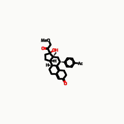 COCC(=O)[C@@]1(O)CC[C@H]2[C@@H]3CCC4=CC(=O)CCC4=C3[C@@H](c3ccc(C(C)=O)cc3)C[C@@]21C